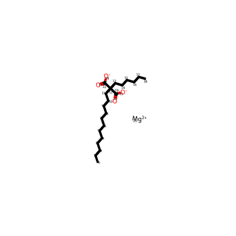 CCCCCCCCCCCCC(CCCCCC)(C(=O)[O-])C(=O)[O-].[Mg+2]